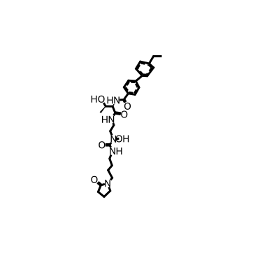 CCc1ccc(-c2ccc(C(=O)N[C@H](C(=O)NCCN(O)C(=O)NCCCCN3CCCC3=O)[C@@H](C)O)cc2)cc1